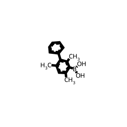 Cc1cc(C)c(-c2ccccc2)c(C)c1B(O)O